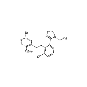 COc1ccc(Br)cc1CCc1c(Cl)cccc1C1=NCCN1CC#N